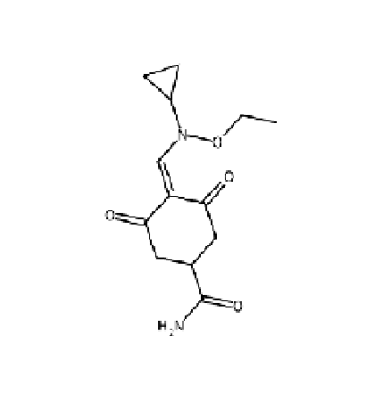 CCON(C=C1C(=O)CC(C(N)=O)CC1=O)C1CC1